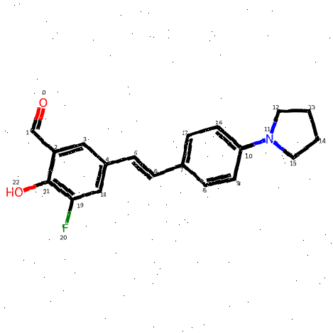 O=Cc1cc(C=Cc2ccc(N3CCCC3)cc2)cc(F)c1O